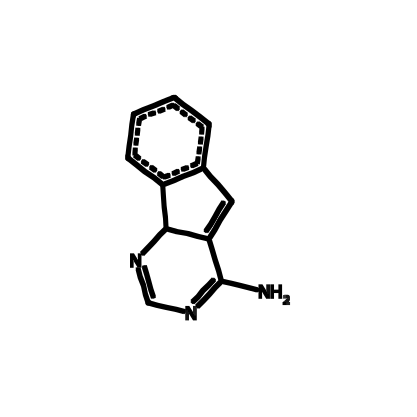 NC1=NC=NC2C1=Cc1ccccc12